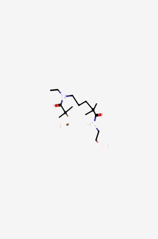 CCN(CCCC(C)(C)C(=O)NCCO)C(=O)C(C)(C)SS